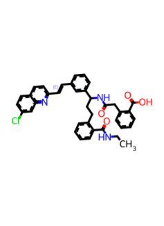 CCNC(=O)c1ccccc1CCC(NC(=O)Cc1ccccc1C(=O)O)c1cccc(/C=C/c2ccc3ccc(Cl)cc3n2)c1